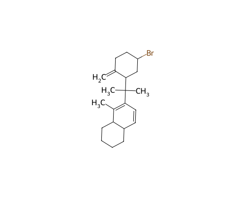 C=C1CCC(Br)CC1C(C)(C)C1=C(C)C2CCCCC2C=C1